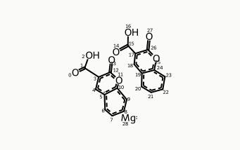 O=C(O)c1cc2ccccc2oc1=O.O=C(O)c1cc2ccccc2oc1=O.[Mg]